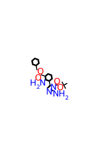 CC(C)(C)OC(=O)n1c(-c2cccc(C(=O)OCc3ccccc3)c2N)cnc1N